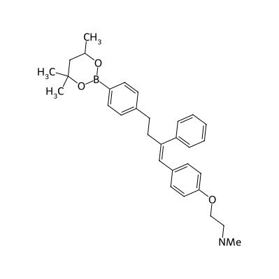 CNCCOc1ccc(C=C(CCc2ccc(B3OC(C)CC(C)(C)O3)cc2)c2ccccc2)cc1